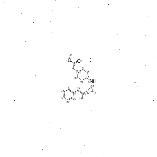 COC(=O)CN1CCC(NC2CC2C(C)=Cc2ccccc2)CC1